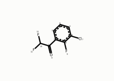 O=C(c1cccc(Cl)c1F)C(F)F